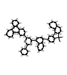 CC1(C)c2ccc(-c3ccc(-c4cc(-c5ccc6c7ccccc7c7ccccc7c6c5)nc(-c5ccccc5)n4)c4ccccc34)cc2-c2c1ccc1ccccc21